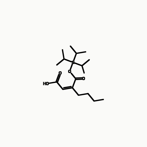 CCCC/C(=C/C(=O)O)C(=O)O[Si](C(C)C)(C(C)C)C(C)C